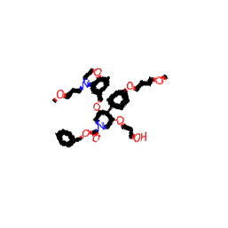 COCCCCOc1ccc([C@@H]2[C@@H](OCc3ccc4c(c3)N(CCCOC)CCO4)CN(C(=O)OCc3ccccc3)C[C@H]2OCCCO)cc1